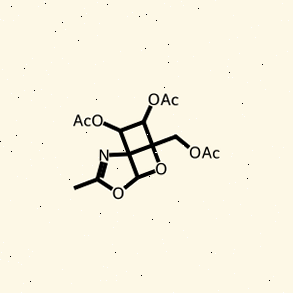 CC(=O)OCC12OC3OC(C)=NC31C(OC(C)=O)C2OC(C)=O